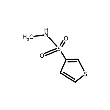 CNS(=O)(=O)c1ccsc1